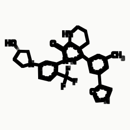 Cc1cc(-c2cnco2)cc(-c2nn(-c3cc(N4CC[C@H](O)C4)ccc3C(F)(F)F)c(=O)c3c2CCCN3)c1